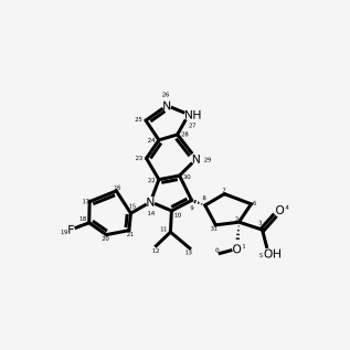 CO[C@@]1(C(=O)O)CC[C@@H](c2c(C(C)C)n(-c3ccc(F)cc3)c3cc4cn[nH]c4nc23)C1